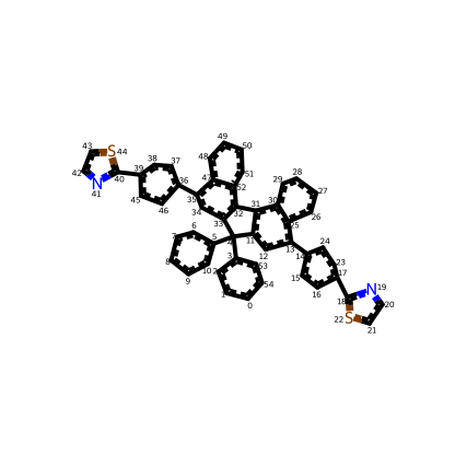 c1ccc(C2(c3ccccc3)c3cc(-c4ccc(-c5nccs5)cc4)c4ccccc4c3-c3c2cc(-c2ccc(-c4nccs4)cc2)c2ccccc32)cc1